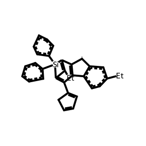 CCC1=C2C3=C(C(C4=CC=CC4)=C1[Si]2(c1ccccc1)c1ccccc1)c1ccc(CC)cc1[CH]3